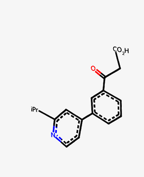 CC(C)c1cc(-c2cccc(C(=O)CC(=O)O)c2)ccn1